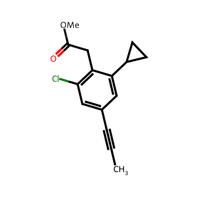 CC#Cc1cc(Cl)c(CC(=O)OC)c(C2CC2)c1